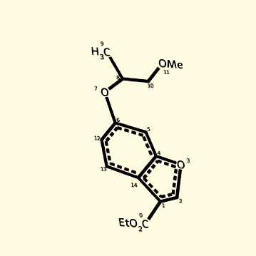 CCOC(=O)c1coc2cc(OC(C)COC)ccc12